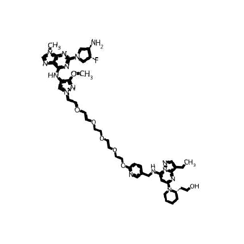 CCc1cnn2c(NCc3ccc(OCCOCCOCCOCCOCCn4cc(Nc5nc(N6C[C@@H](N)[C@H](F)C6)nc6c5ncn6C)c(OC)n4)nc3)cc(N3CCCC[C@H]3CCO)nc12